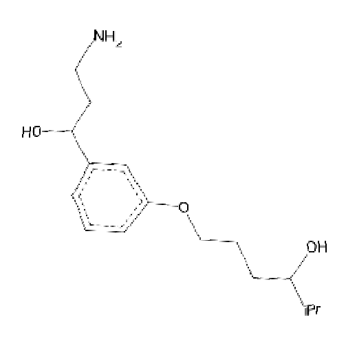 CC(C)C(O)CCCOc1cccc(C(O)CCN)c1